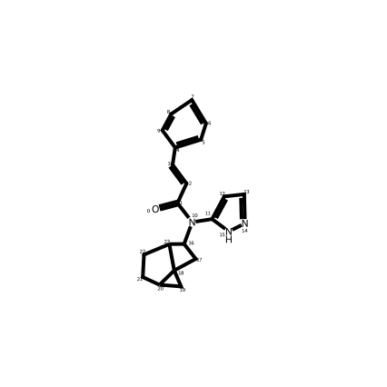 O=C(/C=C/c1ccccc1)N(c1ccn[nH]1)C1CC23CC2CCC13